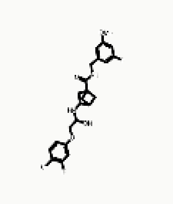 COc1cc(F)cc(CNC(=O)C23CC(C2)C(NC(O)COc2ccc(Cl)c(F)c2)C3)c1